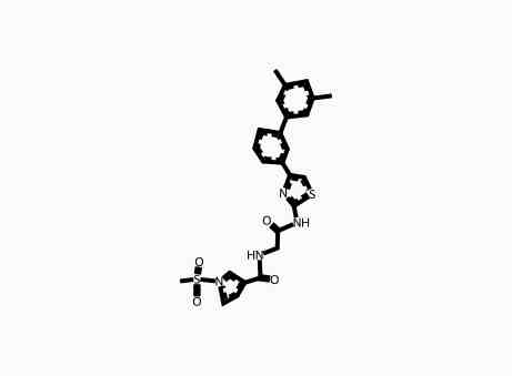 Cc1cc(C)cc(-c2cccc(-c3csc(NC(=O)CNC(=O)c4ccn(S(C)(=O)=O)c4)n3)c2)c1